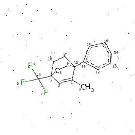 CC1=CC2(C(F)(F)F)CCC1(c1ccccc1)CC2